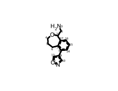 NCC1OCCCc2c(-c3cnoc3)cccc21